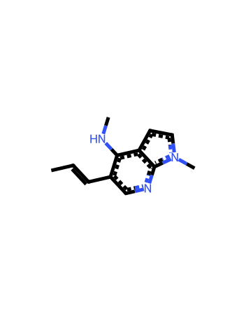 CC=Cc1cnc2c(ccn2C)c1NC